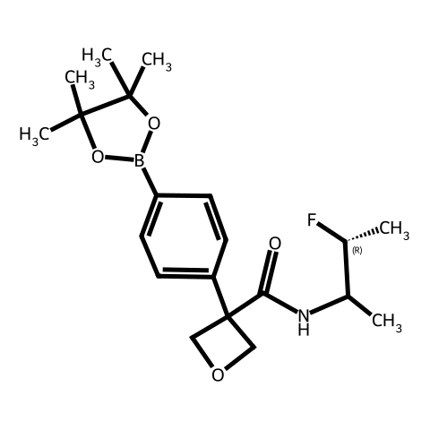 CC(NC(=O)C1(c2ccc(B3OC(C)(C)C(C)(C)O3)cc2)COC1)[C@@H](C)F